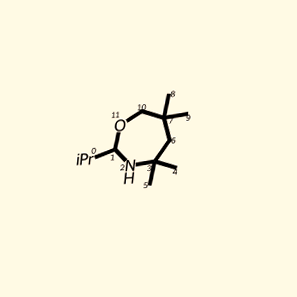 CC(C)C1NC(C)(C)CC(C)(C)CO1